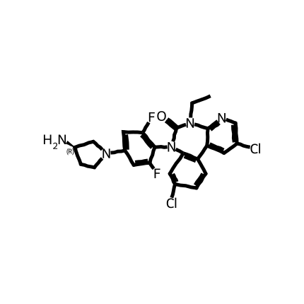 CCN1C(=O)N(c2c(F)cc(N3CC[C@@H](N)C3)cc2F)c2cc(Cl)ccc2-c2cc(Cl)cnc21